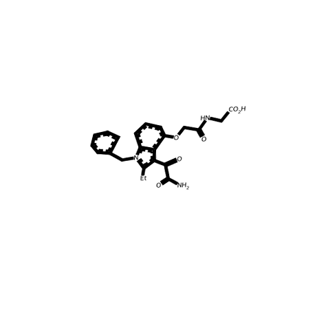 CCc1c(C(=O)C(N)=O)c2c(OCC(=O)NCC(=O)O)cccc2n1Cc1ccccc1